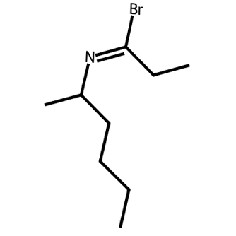 CCCCC(C)/N=C(/Br)CC